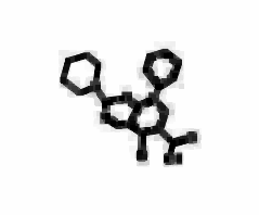 O=C(O)c1cn(-c2ccccc2)c2nc(N3CCCCC3)ncc2c1=O